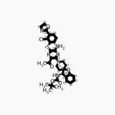 CC(=O)c1nc(Sc2cccc(-c3ncco3)c2Cl)c(N)nc1N1CCC2(CC1)Oc1ccccc1[C@H]2NC(=O)OC(C)(C)C